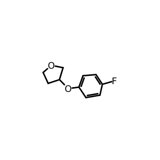 Fc1ccc(OC2CCOC2)cc1